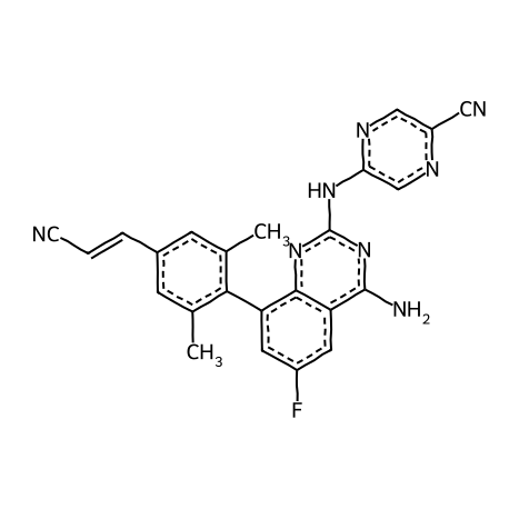 Cc1cc(/C=C/C#N)cc(C)c1-c1cc(F)cc2c(N)nc(Nc3cnc(C#N)cn3)nc12